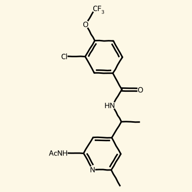 CC(=O)Nc1cc(C(C)NC(=O)c2ccc(OC(F)(F)F)c(Cl)c2)cc(C)n1